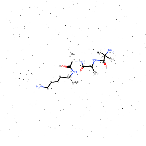 CC[C@H](C)[C@H](NC(=O)[C@H](C)NC(=O)C(C)(C)N)C(=O)N[C@@H](CCCCN)C(=O)O